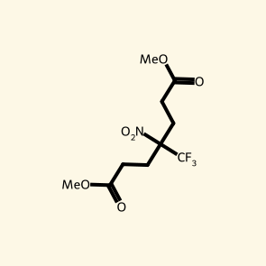 COC(=O)CCC(CCC(=O)OC)([N+](=O)[O-])C(F)(F)F